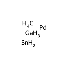 C.[GaH3].[Pd].[SnH2]